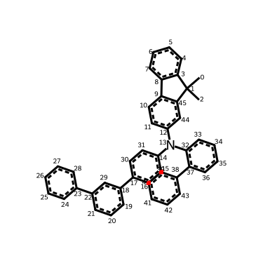 CC1(C)c2ccccc2-c2ccc(N(c3ccc(-c4cccc(-c5ccccc5)c4)cc3)c3ccccc3-c3ccccc3)cc21